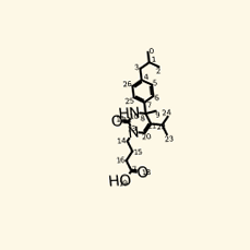 CC(C)Cc1ccc(C2(C)NC(=O)N(CCCC(=O)O)C=C2C(C)C)cc1